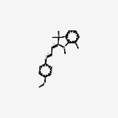 COc1ccc(/N=C/C=C2\N(C)c3c(C)cccc3C2(C)C)cc1